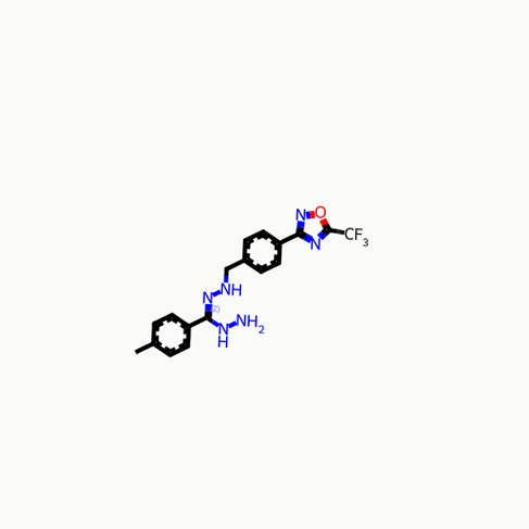 Cc1ccc(/C(=N/NCc2ccc(-c3noc(C(F)(F)F)n3)cc2)NN)cc1